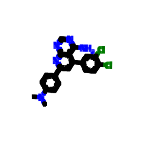 CN(C)c1ccc(-c2cc(-c3ccc(Cl)c(Cl)c3)c3c(N)ncnc3n2)cc1